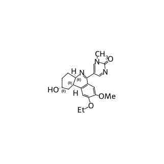 CCOc1cc2c(cc1OC)C(c1cnc(=O)n(C)c1)=N[C@@H]1CC[C@@H](O)C[C@H]21